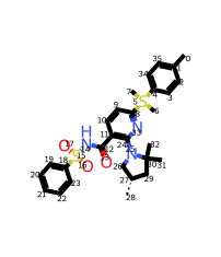 Cc1ccc(S(C)(C)c2ccc(C(=O)NS(=O)(=O)c3ccccc3)c(N3C[C@@H](C)CC3(C)C)n2)cc1